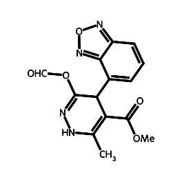 COC(=O)C1=C(C)NN=C(OC=O)C1c1cccc2nonc12